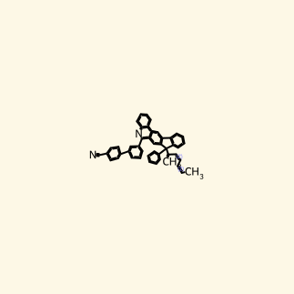 C=C(/C=C\C=C/C)C1(c2ccccc2)c2ccccc2-c2cc3c(cc21)c(-c1cccc(-c2ccc(C#N)cc2)c1)nc1ccccc13